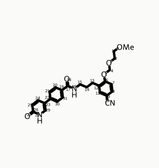 COCCOCOc1ccc(C#N)cc1CCCNC(=O)c1ccc(-c2ccc(=O)[nH]c2)cc1